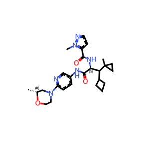 C[C@@H]1CN(c2ccc(NC(=O)[C@@H](NC(=O)c3ccnn3C)C(C3CCC3)C3(C)CC3)cn2)CCO1